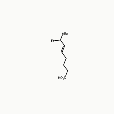 CCCCC(C=CCCCC(=O)O)CC